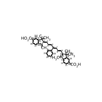 CN1C(=CC=CC(=CC=CC2=[N+](C)c3ccc(C(=O)O)cc3C2(C)C)c2ccccc2)C(C)(C)c2cc(C(=O)O)ccc21